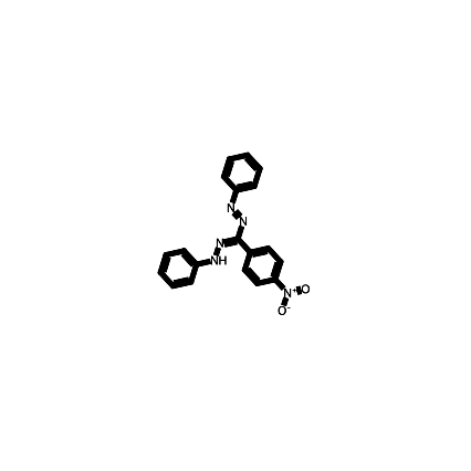 O=[N+]([O-])c1ccc(C(/N=N/c2ccccc2)=N\Nc2ccccc2)cc1